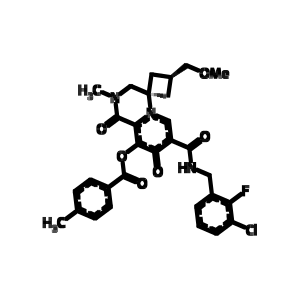 COC[C@H]1C[C@]2(CN(C)C(=O)c3c(OC(=O)c4ccc(C)cc4)c(=O)c(C(=O)NCc4cccc(Cl)c4F)cn32)C1